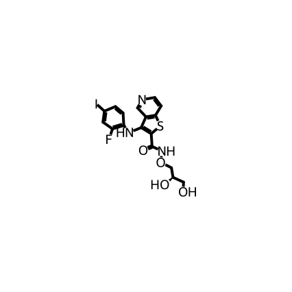 O=C(NOC[C@H](O)CO)c1sc2ccncc2c1Nc1ccc(I)cc1F